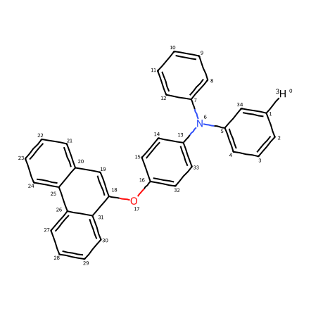 [3H]c1cccc(N(c2ccccc2)c2ccc(Oc3cc4ccccc4c4ccccc34)cc2)c1